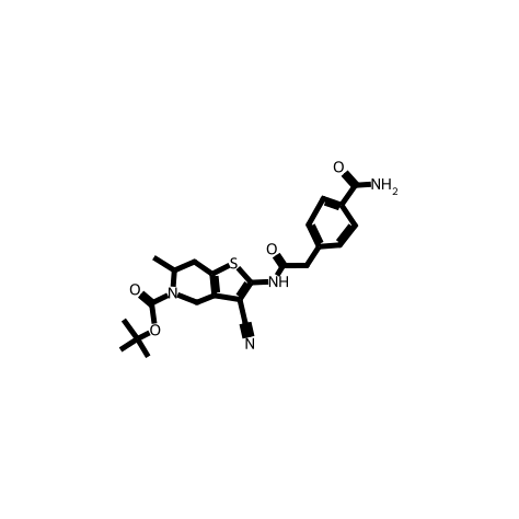 CC1Cc2sc(NC(=O)Cc3ccc(C(N)=O)cc3)c(C#N)c2CN1C(=O)OC(C)(C)C